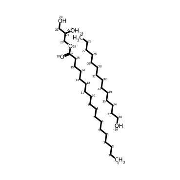 CCCCCCCCCCCCCCCCCC(=O)OCC(O)CO.CCCCCCCCCCCCCCO